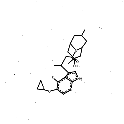 CC1CC2CC(C)(O)CC(C1)N2C(=O)CC(C)c1c[nH]c2ncc(OC3CC3)c(F)c12